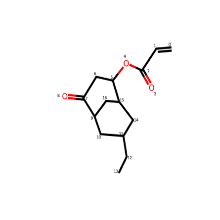 C=CC(=O)OC1CC(=O)C2CC(CC)CC1C2